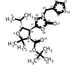 CC(C)[C@H]1OC(C)(C)N(C(=O)OC(C)(C)C)[C@@H]1c1nn(Cc2ccsc2)c(=O)o1